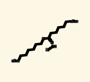 CCCCCCCCCCCCCCCCOC(=O)CCCCCCCCCCCCCCC.CCO